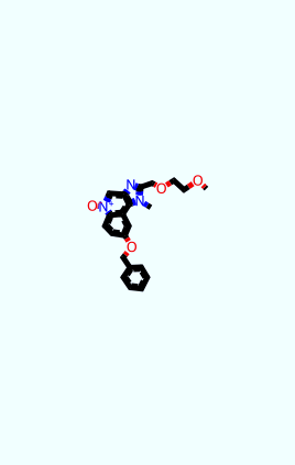 COCCOCc1nc2c[n+]([O-])c3ccc(OCc4ccccc4)cc3c2n1C